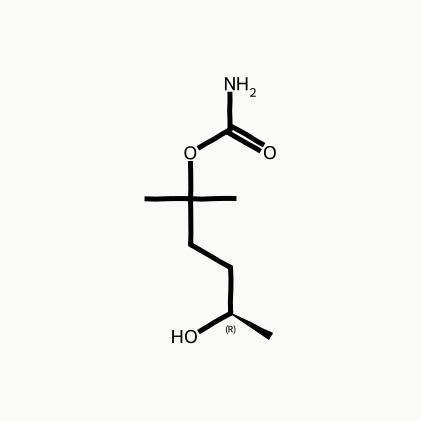 C[C@@H](O)CCC(C)(C)OC(N)=O